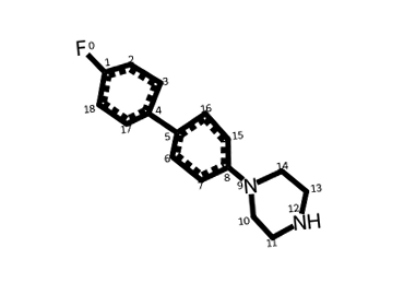 Fc1ccc(-c2ccc(N3CCNCC3)cc2)cc1